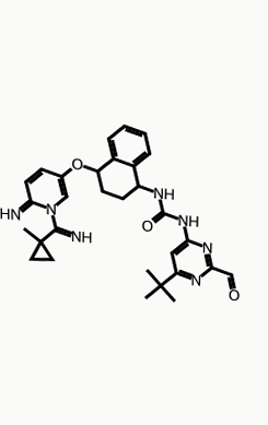 CC1(C(=N)n2cc(OC3CCC(NC(=O)Nc4cc(C(C)(C)C)nc(C=O)n4)c4ccccc43)ccc2=N)CC1